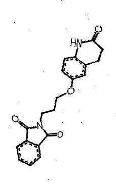 O=C1CCc2cc(OCCCN3C(=O)c4ccccc4C3=O)ccc2N1